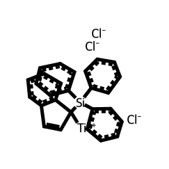 [Cl-].[Cl-].[Cl-].[Ti+3][C]1([Si](c2ccccc2)(c2ccccc2)c2ccccc2)C=Cc2ccccc21